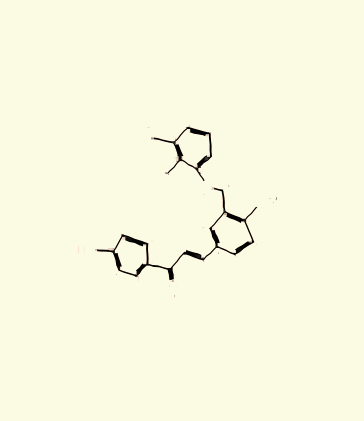 COc1ccc(/C=C/C(=O)c2ccc(O)cc2)cc1COc1cccc(Cl)c1Cl